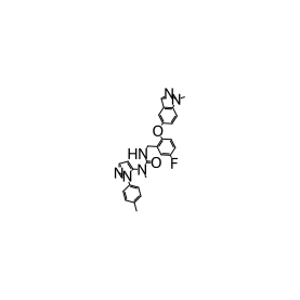 Cc1ccc(-n2nccc2N(C)C(=O)NCc2cc(F)ccc2Oc2ccc3c(cnn3C)c2)cc1